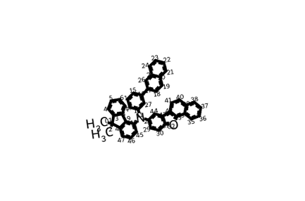 CC1(C)c2ccccc2-c2c(N(c3cccc(-c4ccc5ccccc5c4)c3)c3ccc4oc5c6ccccc6ccc5c4c3)cccc21